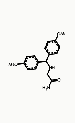 COc1ccc(C(NCC(N)=O)c2ccc(OC)cc2)cc1